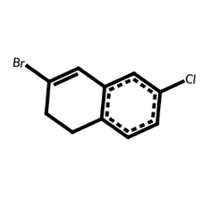 Clc1ccc2c(c1)C=C(Br)CC2